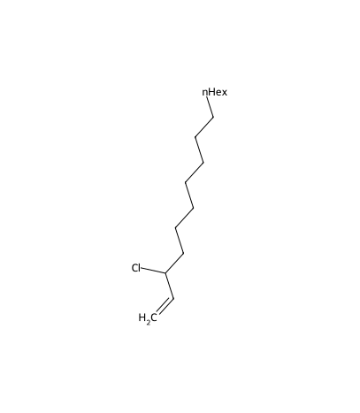 C=CC(Cl)CCCCCCCCCCCCC